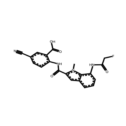 Cn1c(C(=O)Nc2ccc(C#N)cc2C(=O)O)cc2cccc(NC(=O)CF)c21